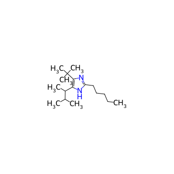 CCCCCc1nc(C(C)(C)C)c(C(C)C(C)C)[nH]1